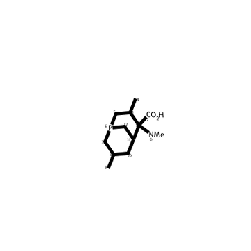 CNC1(C(=O)O)C(C)CP2CC(C)CC1C2